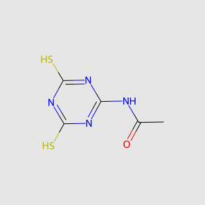 CC(=O)Nc1nc(S)nc(S)n1